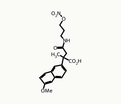 COc1ccc2cc(C(C)(CC(=O)NCCCO[N+](=O)[O-])C(=O)O)ccc2c1